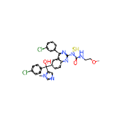 COCCNC(=O)N(S)c1nc(-c2cccc(Cl)c2)c2cc(C(O)(c3ccc(Cl)cc3)c3cncn3C)ccc2n1